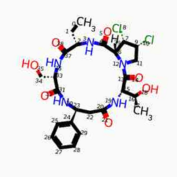 CC[C@@H]1NC(=O)[C@@H]2[C@H](Cl)[C@H](Cl)CN2C(=O)[C@H]([C@H](C)O)NC(=O)C[C@@H](c2ccccc2)NC(=O)[C@H](CO)NC1=O